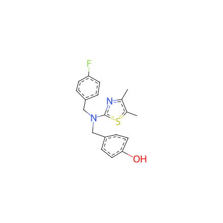 Cc1nc(N(Cc2ccc(O)cc2)Cc2ccc(F)cc2)sc1C